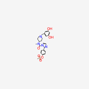 CN(C(=O)n1ccnc1-c1ccc(OS(C)(=O)=O)cc1)C1CCN(Cc2cc(O)cc(O)c2)CC1